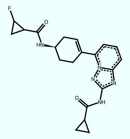 O=C(Nc1nc2cccc(C3=CC[C@H](NC(=O)C4CC4F)CC3)n2n1)C1CC1